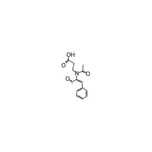 CC(=O)N(CCC(=O)O)C([C]=O)=Cc1ccccc1